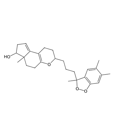 Cc1cc2c(cc1C)C(C)(CCCC1CCC3=C(CCC4(C)C3=CCC4O)O1)OO2